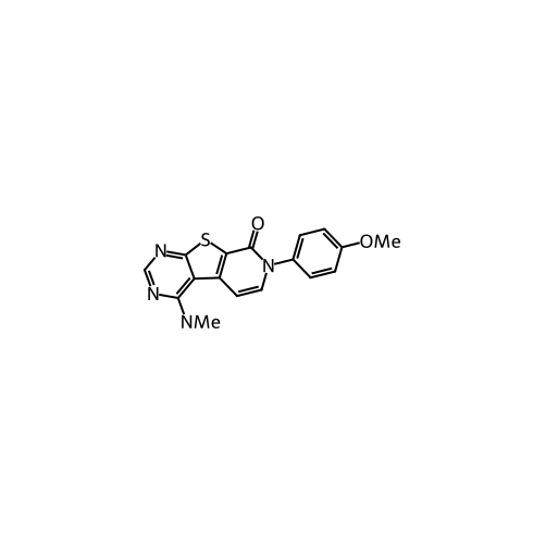 CNc1ncnc2sc3c(=O)n(-c4ccc(OC)cc4)ccc3c12